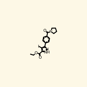 CCOC(=O)c1[nH]nc(-c2ccc(C(=O)N3CCCC3)cc2)c1I